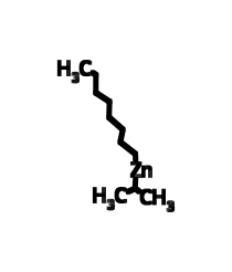 CCCCCCC[CH2][Zn][CH](C)C